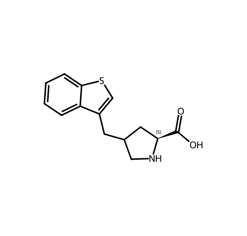 O=C(O)[C@@H]1CC(Cc2csc3ccccc23)CN1